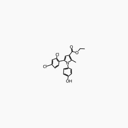 CCOC(=O)c1cc(-c2ccc(Cl)cc2Cl)n(-c2ccc(O)cc2)c1C